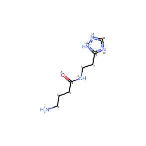 NCCCC(=O)NCCc1ncn[nH]1